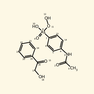 CC(=O)Nc1ccc([As](=O)(O)OO)cc1.O=C(CO)c1ccccc1